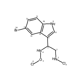 ClNCC(NOCl)c1c[nH]c2ccc(Br)cc12